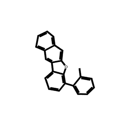 Cc1ccccc1-c1cccc2c1oc1cc3ccccc3cc12